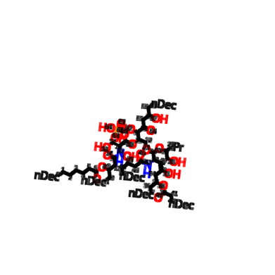 CCCCCCCCCCCCCCCC(=O)OC(CCCCCCCCCCC)CC(=O)N[C@@H](CO)C(OC(COC(OC(CO)C(C)C)[C@H](/C=C(/O)CC(CCCCCCCCCCC)OC(=O)CCCCCCCCCCC)NC(=O)CC(O)CCCCCCCCCCC)C(O)C(=O)CC(O)CCCCCCCCCCC)OP(=O)(O)O